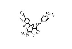 COc1c(Cl)ccc(-c2nc(N)c(Cl)c(C(=O)OCc3ccc(N)cc3)n2)c1F